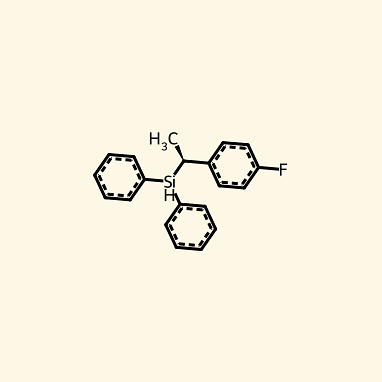 C[C@@H](c1ccc(F)cc1)[SiH](c1ccccc1)c1ccccc1